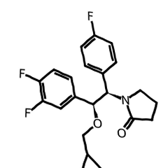 O=C1CCCN1[C@H](c1ccc(F)cc1)[C@@H](OCC1CC1)c1ccc(F)c(F)c1